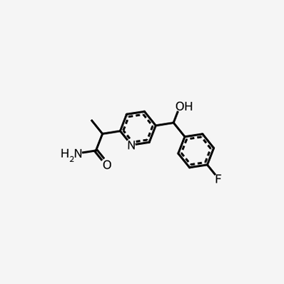 CC(C(N)=O)c1ccc(C(O)c2ccc(F)cc2)cn1